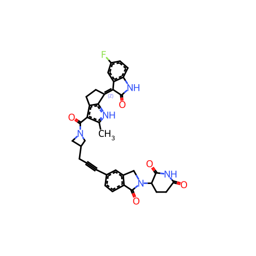 Cc1[nH]c2c(c1C(=O)N1CC(CC#Cc3ccc4c(c3)CN(C3CCC(=O)NC3=O)C4=O)C1)CC/C2=C1/C(=O)Nc2ccc(F)cc21